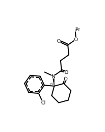 CC(C)OC(=O)CCC(=O)N(C)[C@]1(c2ccccc2Cl)CCCCC1=O